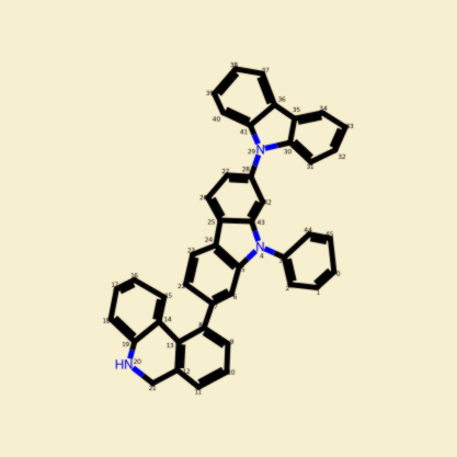 c1ccc(-n2c3cc(-c4cccc5c4-c4ccccc4NC5)ccc3c3ccc(-n4c5ccccc5c5ccccc54)cc32)cc1